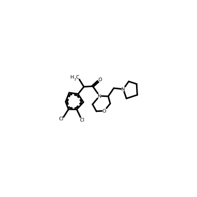 CC(C(=O)N1CCOCC1CN1CCCC1)c1ccc(Cl)c(Cl)c1